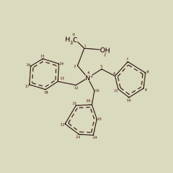 CC(O)C[N+](Cc1ccccc1)(Cc1ccccc1)Cc1ccccc1